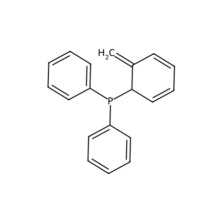 C=C1C=CC=CC1P(c1ccccc1)c1ccccc1